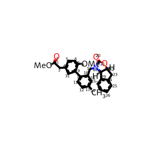 COC(=O)Cc1ccc(OC)c(-c2ccc(C)cc2CN2C(=O)O[C@H]3Cc4ccccc4[C@H]32)c1